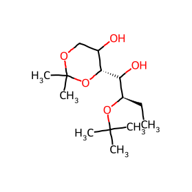 CC[C@@H](OC(C)(C)C)C(O)[C@@H]1OC(C)(C)OCC1O